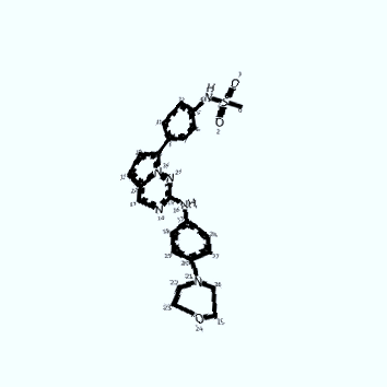 CS(=O)(=O)Nc1ccc(-c2ccc3cnc(Nc4ccc(N5CCOCC5)cc4)nn23)cc1